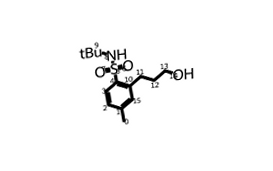 Cc1ccc(S(=O)(=O)NC(C)(C)C)c(CCCO)c1